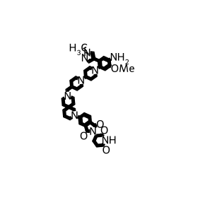 COc1cc(N2CCC(N3CCC(CN4CCC5(CCCN(c6ccc7c(c6)C(=O)N(C6CCC(=O)NC6=O)C7=O)C5)CC4)CC3)CC2)c(-c2cnn(C)c2)cc1N